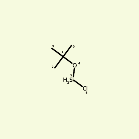 CC(C)(C)O[SiH2]Cl